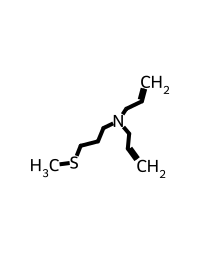 C=CCN(CC=C)CCCSC